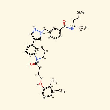 CSCCC(NC(=O)c1cccc(Cn2cc(-c3cccc4c3CCCN4C(=O)CCCOc3cccc(C)c3C)cn2)c1)C(=O)O